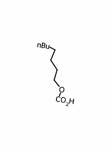 CCCCCCCCOC(=O)O